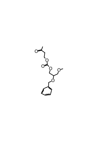 COCC(COC(=O)OCCC(C)=O)OCc1ccccc1